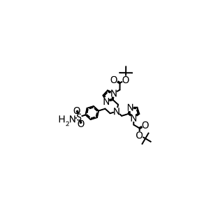 CC(C)(C)OC(=O)Cn1ccnc1CN(CCc1ccc(S(N)(=O)=O)cc1)Cc1nccn1CC(=O)OC(C)(C)C